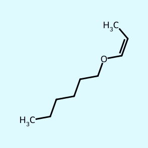 C/C=C\OCCCCCC